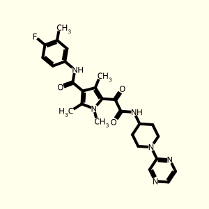 Cc1cc(NC(=O)c2c(C)c(C(=O)C(=O)NC3CCN(c4cnccn4)CC3)n(C)c2C)ccc1F